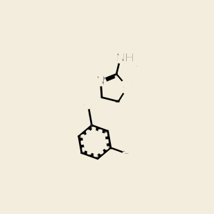 NC1=N[C@@H](Cc2cccc(F)c2)CO1